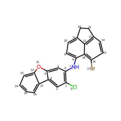 Clc1cc2c(cc1Nc1ccc3c4c(ccc(Br)c14)CC3)oc1ccccc12